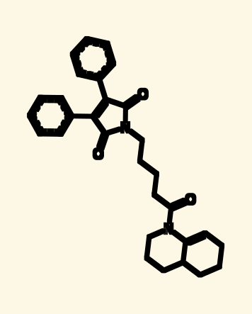 O=C(CCCCN1C(=O)C(c2ccccc2)=C(c2ccccc2)C1=O)N1CCCC2CCCC=C21